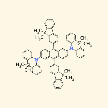 CC1(C)c2ccccc2-c2ccc(-c3c4ccc(N5c6ccccc6[Si](C)(C)c6ccccc65)cc4c(-c4ccc5c(c4)C(C)(C)c4ccccc4-5)c4ccc(N5c6ccccc6[Si](C)(C)c6ccccc65)cc34)cc21